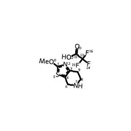 COc1nc2c(s1)CNCC2.O=C(O)C(F)(F)F